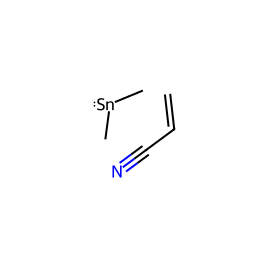 C=CC#N.[CH3][Sn][CH3]